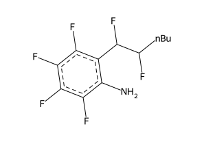 CCCCC(F)C(F)c1c(N)c(F)c(F)c(F)c1F